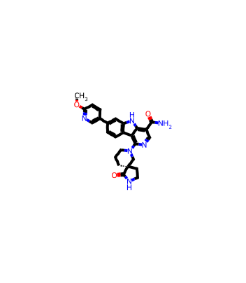 COc1ccc(-c2ccc3c(c2)[nH]c2c(C(N)=O)cnc(N4CCC[C@@]5(CCNC5=O)C4)c23)cn1